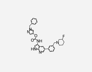 O=C(Nc1c[nH]c2ncc(-c3cccc(CN4CCCC(F)C4)c3)cc12)Oc1cnn(Cc2ccccc2)c1